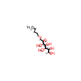 CCCCCOCC(=O)C(O)C(O)C(O)C(O)CO